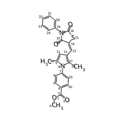 COC(=O)c1ccc(-n2c(C)cc(/C=C3/SC(=O)N(c4ccccc4)C3=O)c2C)cc1